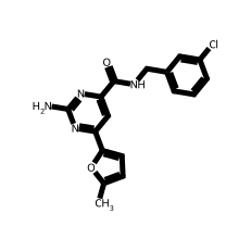 Cc1ccc(-c2cc(C(=O)NCc3cccc(Cl)c3)nc(N)n2)o1